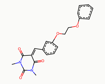 CN1C(=O)C(=Cc2cccc(OCCOc3ccccc3)c2)C(=O)N(C)C1=O